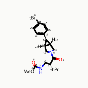 CCC[C@H](CNC(=O)OC)C(=O)N1C[C@@H]2[C@H](C1)[C@H]2c1ccc(C(C)(C)C)cc1